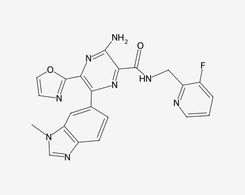 Cn1cnc2ccc(-c3nc(C(=O)NCc4ncccc4F)c(N)nc3-c3ncco3)cc21